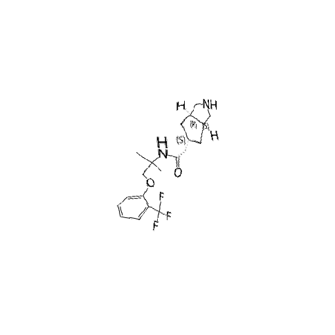 CC(C)(COc1ccccc1C(F)(F)F)NC(=O)[C@@H]1C[C@H]2CNC[C@H]2C1